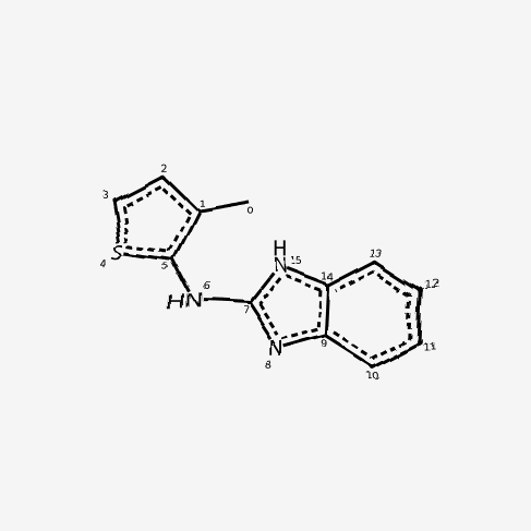 Cc1ccsc1Nc1nc2ccccc2[nH]1